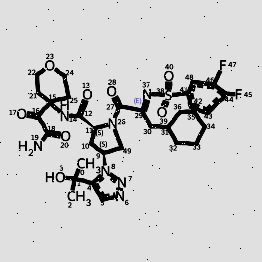 CC(C)(O)c1cnnn1[C@H]1C[C@@H](C(=O)NC2(C(=O)C(N)=O)CCOCC2)N(C(=O)/C(CC2CCCCC2)=N/S(=O)(=O)c2ccc(F)c(F)c2)C1